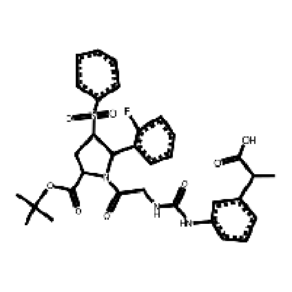 CC(C(=O)O)c1cccc(NC(=O)NCC(=O)N2C(C(=O)OC(C)(C)C)CC(S(=O)(=O)c3ccccc3)C2c2ccccc2F)c1